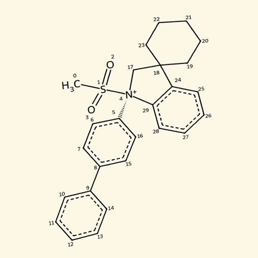 CS(=O)(=O)[N@@+]1(c2ccc(-c3ccccc3)cc2)CC2(CCCCC2)c2ccccc21